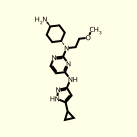 COCCN(c1nccc(Nc2cc(C3CC3)[nH]n2)n1)[C@H]1CC[C@H](N)CC1